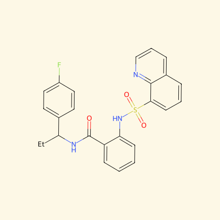 CCC(NC(=O)c1ccccc1NS(=O)(=O)c1cccc2cccnc12)c1ccc(F)cc1